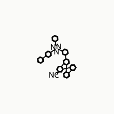 N#Cc1ccc2c(c1)C1(c3ccccc3-c3ccccc31)c1ccc(-c3cccc(-c4nc(-c5ccccc5)nc(-c5ccc(-c6ccccc6)cc5)n4)c3)cc1-2